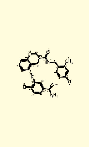 Cc1cc(Cl)ccc1CNC(=O)C1COc2ccccc2C1.NC(=O)c1ccc(Cl)c(F)c1